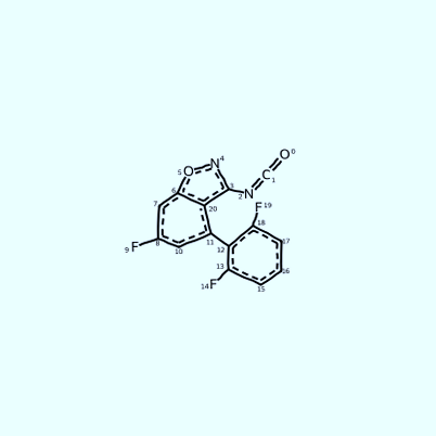 O=C=Nc1noc2cc(F)cc(-c3c(F)cccc3F)c12